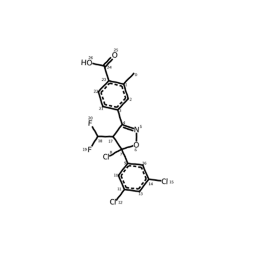 Cc1cc(C2=NOC(Cl)(c3cc(Cl)cc(Cl)c3)C2C(F)F)ccc1C(=O)O